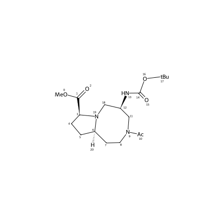 COC(=O)[C@@H]1CC[C@@H]2CCN(C(C)=O)C[C@H](NC(=O)OC(C)(C)C)CN21